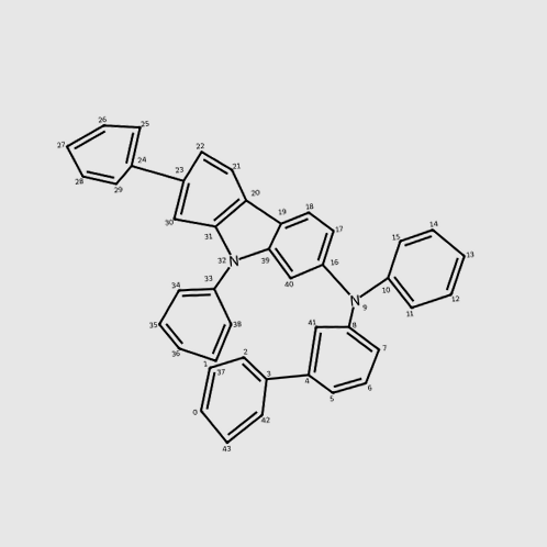 c1ccc(-c2cccc(N(c3ccccc3)c3ccc4c5ccc(-c6ccccc6)cc5n(-c5ccccc5)c4c3)c2)cc1